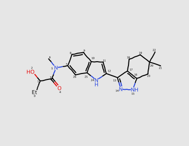 CCC(O)C(=O)N(C)c1ccc2cc(-c3n[nH]c4c3CCC(C)(C)C4)[nH]c2c1